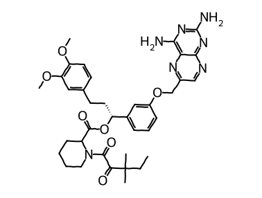 CCC(C)(C)C(=O)C(=O)N1CCCCC1C(=O)O[C@H](CCc1ccc(OC)c(OC)c1)c1cccc(OCc2cnc3nc(N)nc(N)c3n2)c1